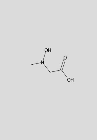 CN(O)CC(=O)O